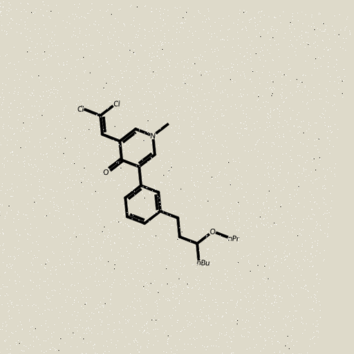 CCCCC(CCc1cccc(-c2cn(C)cc(C=C(Cl)Cl)c2=O)c1)OCCC